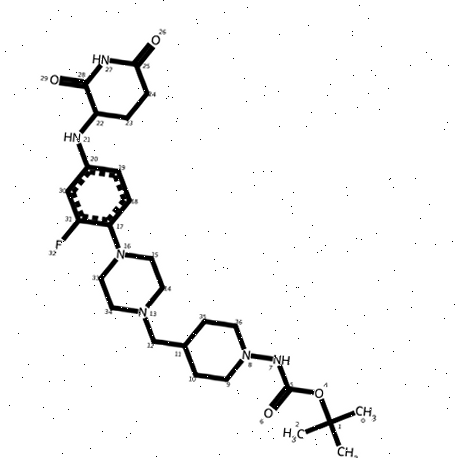 CC(C)(C)OC(=O)NN1CCC(CN2CCN(c3ccc(NC4CCC(=O)NC4=O)cc3F)CC2)CC1